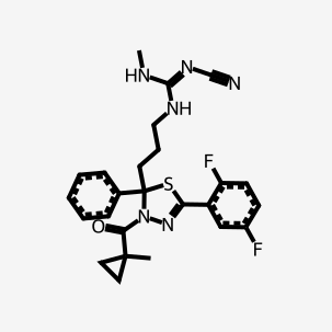 CN/C(=N/C#N)NCCCC1(c2ccccc2)SC(c2cc(F)ccc2F)=NN1C(=O)C1(C)CC1